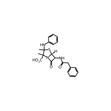 CC1(Nc2ccccc2)S[C@@H]2C(NC(=O)Cc3ccccc3)C(=O)N2C1(C)C(=O)O